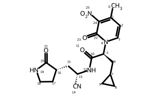 Cc1ccn([C@@H](CC2CC2)C(=O)N[C@H](C#N)C[C@@H]2CCNC2=O)c(=O)c1[N+](=O)[O-]